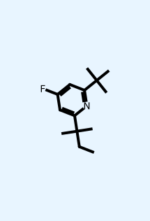 CCC(C)(C)c1cc(F)cc(C(C)(C)C)n1